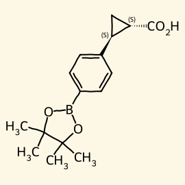 CC1(C)OB(c2ccc([C@H]3C[C@@H]3C(=O)O)cc2)OC1(C)C